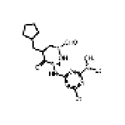 CCc1nc(NNC(=O)C(CC2CCCC2)CN(O)C=O)nc([As](C)CC)n1